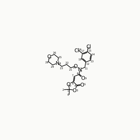 CC1(C)OC(=O)/C(=C\C(=O)N(Cc2ccc(Cl)c(Cl)c2)OCCCN2CCOCC2)O1